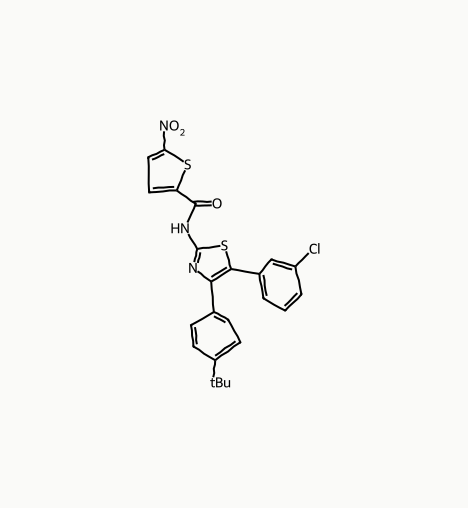 CC(C)(C)c1ccc(-c2nc(NC(=O)c3ccc([N+](=O)[O-])s3)sc2-c2cccc(Cl)c2)cc1